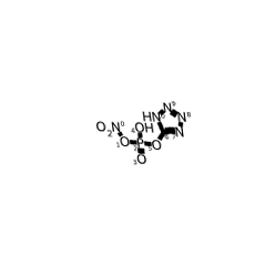 O=[N+]([O-])OP(=O)(O)Oc1nnn[nH]1